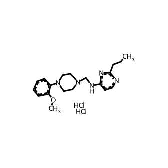 CCCc1nccc(NCN2CCN(c3ccccc3OC)CC2)n1.Cl.Cl